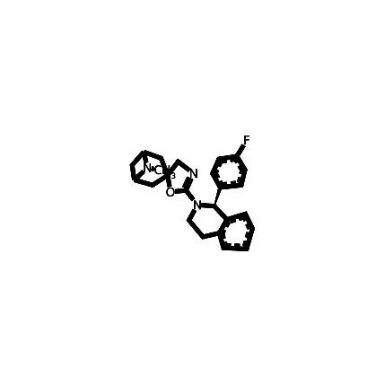 CN1C2CC1CC1(CN=C(N3CCc4ccccc4[C@@H]3c3ccc(F)cc3)O1)C2